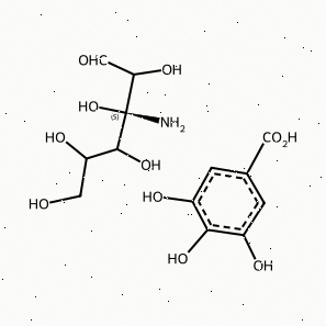 N[C@@](O)(C(O)C=O)C(O)C(O)CO.O=C(O)c1cc(O)c(O)c(O)c1